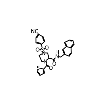 N#Cc1ccc(S(=O)(=O)N2CCN(C(=O)c3cccs3)C(C(=O)NCc3ccc4ccccc4c3)C2)cc1